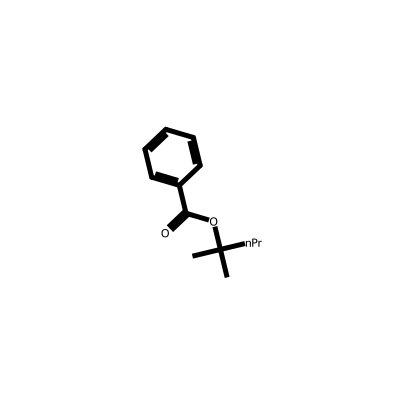 CCCC(C)(C)OC(=O)c1ccccc1